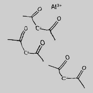 CC(=O)[CH-]C(C)=O.CC(=O)[CH-]C(C)=O.CC(=O)[CH-]C(C)=O.[Al+3]